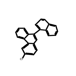 Clc1ccc2cc(-c3cccc4ccccc34)c3ccccc3c2c1